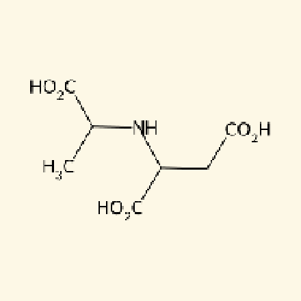 CC(NC(CC(=O)O)C(=O)O)C(=O)O